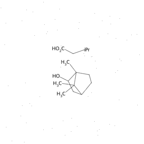 CC(C)CC(=O)O.CC1(C)C2CCC1(C)C(O)C2